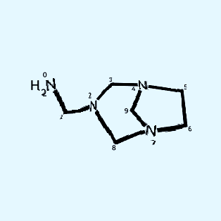 NCN1CN2CCN(C1)C2